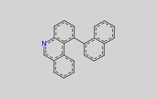 c1ccc2c(-c3cccc4ncc5ccccc5c34)cccc2c1